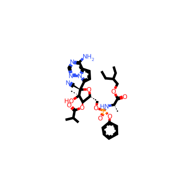 CCC(CC)COC(=O)[C@H](C)NP(=O)(OC[C@H]1O[C@@](C#N)(c2ccc3c(N)ncnn23)[C@](C)(O)[C@@H]1OC(=O)C(C)C)Oc1ccccc1